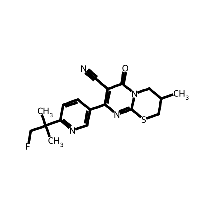 CC1CSc2nc(-c3ccc(C(C)(C)CF)nc3)c(C#N)c(=O)n2C1